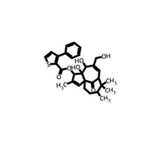 CC1=CC23CCC(C)C(C)(C)C(C=C(CO)C(O)C2(O)C1OC(=O)c1sccc1-c1ccccc1)C3=O